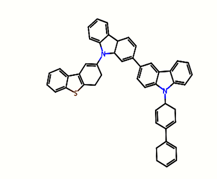 C1=CCCC(C2=CCC(n3c4ccccc4c4cc(C5=CC6C(C=C5)c5ccccc5N6C5=Cc6c(sc7ccccc67)CC5)ccc43)C=C2)=C1